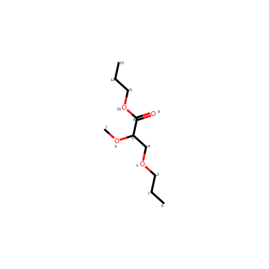 CCCOCC(OC)C(=O)OCCC